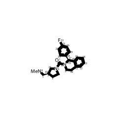 CNC[C@@H]1CCN(C(=O)N2CCc3ccccc3[C@@H]2c2ccc(F)cc2)C1